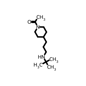 CC(=O)N1CCC(CCCNC(C)(C)C)CC1